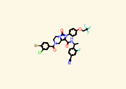 CC(NC(=O)c1c2n(c(=O)n1-c1ccc(OCC(F)(F)F)cc1)CCN(C(=O)c1ccc(Br)c(Cl)c1)C2)c1ccc(C#N)cc1F